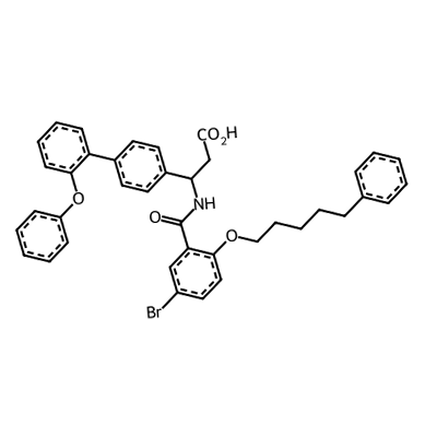 O=C(O)CC(NC(=O)c1cc(Br)ccc1OCCCCCc1ccccc1)c1ccc(-c2ccccc2Oc2ccccc2)cc1